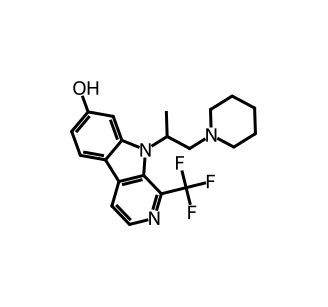 CC(CN1CCCCC1)n1c2cc(O)ccc2c2ccnc(C(F)(F)F)c21